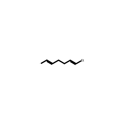 [CH2]C=CCCC=CCC